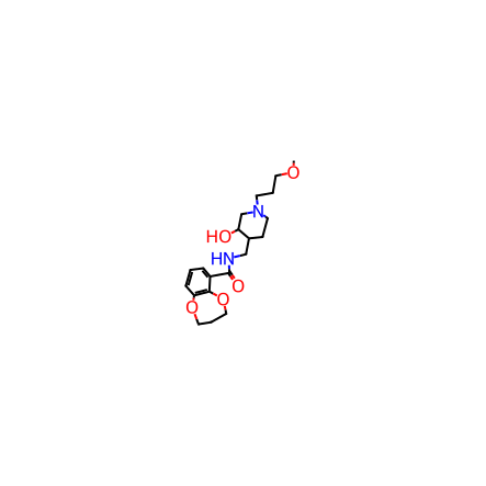 COCCCN1CCC(CNC(=O)c2cccc3c2OCCCO3)C(O)C1